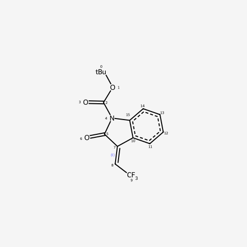 CC(C)(C)OC(=O)N1C(=O)/C(=C/C(F)(F)F)c2ccccc21